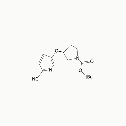 CC(C)(C)OC(=O)N1CC[C@H](Oc2ccc(C#N)nc2)C1